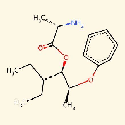 CCC(CC)[C@@H](OC(=O)[C@H](C)N)[C@H](C)Oc1ccccc1